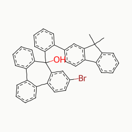 CC1(C)c2ccccc2-c2ccc(-c3ccccc3C3(O)c4ccccc4-c4ccccc4-c4ccc(Br)cc43)cc21